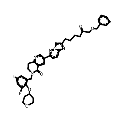 O=C(CCCCc1cn2nc(-c3cnc4c(c3)C(=O)N(Cc3cc(F)cc(F)c3OC3CCOCC3)CC4)ccc2n1)COCc1ccccc1